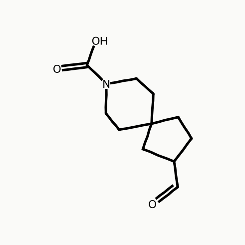 O=CC1CCC2(CCN(C(=O)O)CC2)C1